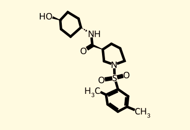 Cc1ccc(C)c(S(=O)(=O)N2CCC[C@H](C(=O)N[C@H]3CC[C@H](O)CC3)C2)c1